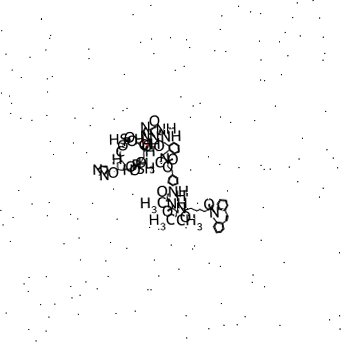 CC(C)[C@H](NC(=O)CCCCC(=O)N1Cc2ccccc2C#Cc2ccccc21)C(=O)N[C@@H](C)C(=O)Nc1ccc(COC(=O)N(C)Cc2ccccc2C(=O)Nc2nc3c(ncn3[C@@H]3O[C@@H]4CO[P@@](=O)(S)O[C@H]5C[C@H](Oc6ccncn6)C[C@@H]5CCO[P@@](=O)(S)O[C@@H]3[C@@H]4O)c(=O)[nH]2)cc1